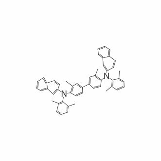 Cc1cc(-c2ccc(N(c3ccc4ccccc4c3)c3c(C)cccc3C)c(C)c2)ccc1N(c1ccc2ccccc2c1)c1c(C)cccc1C